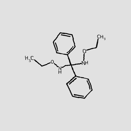 CCONC(NOCC)(c1ccccc1)c1ccccc1